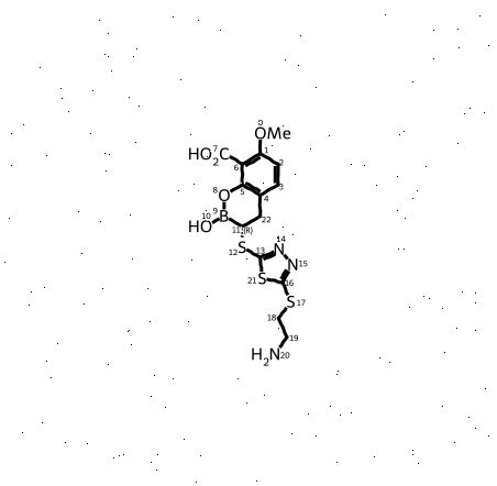 COc1ccc2c(c1C(=O)O)OB(O)[C@@H](Sc1nnc(SCCN)s1)C2